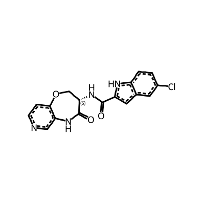 O=C(N[C@H]1COc2ccncc2NC1=O)c1cc2cc(Cl)ccc2[nH]1